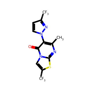 Cc1nc2sc(C(F)(F)F)cn2c(=O)c1-n1ccc(C(F)(F)F)n1